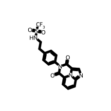 O=c1c2cccc3ncc(c(=O)n1-c1ccc(CCNS(=O)(=O)C(F)(F)F)cc1)n32